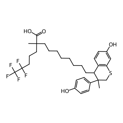 CC(CCCCCCCCC1c2ccc(O)cc2SCC1(C)c1ccc(O)cc1)(CCCC(F)(F)C(F)(F)F)C(=O)O